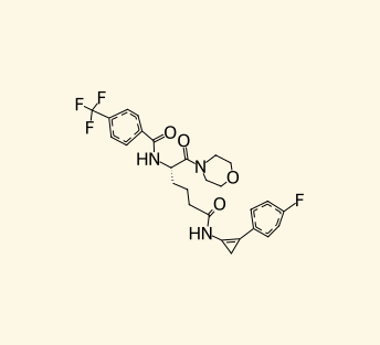 O=C(CCC[C@H](NC(=O)c1ccc(C(F)(F)F)cc1)C(=O)N1CCOCC1)NC1=C(c2ccc(F)cc2)C1